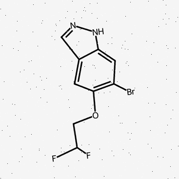 FC(F)COc1cc2cn[nH]c2cc1Br